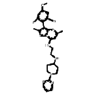 COc1cc(Cl)c(-c2c(C)nn3c(NCCNC4CCN(c5ncccn5)CC4)cc(C)nc23)c(Cl)c1